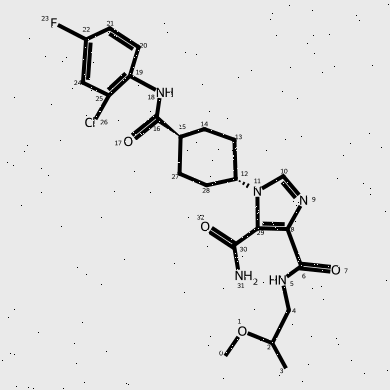 COC(C)CNC(=O)c1ncn([C@H]2CC[C@H](C(=O)Nc3ccc(F)cc3Cl)CC2)c1C(N)=O